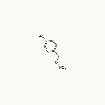 CC(=O)c1ccc(CO[N+](=O)[O-])cc1